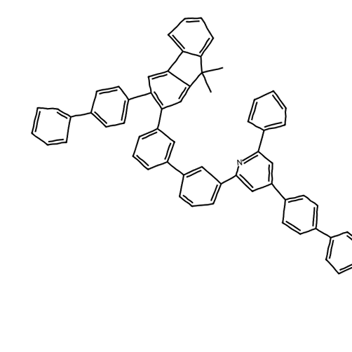 CC1(C)c2ccccc2-c2cc(-c3ccc(-c4ccccc4)cc3)c(-c3cccc(-c4cccc(-c5cc(-c6ccc(-c7ccccc7)cc6)cc(-c6ccccc6)n5)c4)c3)cc21